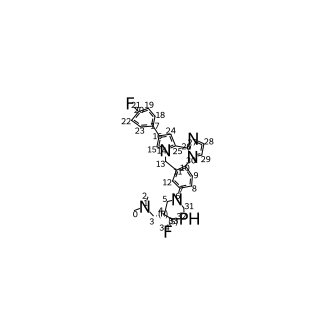 CN(C)C[C@@H]1CN(c2ccc3c(c2)Cn2cc(-c4ccc(F)cc4)cc2-c2nccn2-3)CP[C@@H]1F